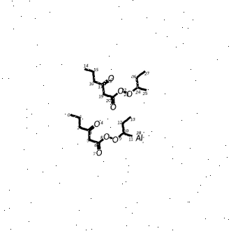 CCCC(=O)CC(=O)OOC(C)CC.CCCC(=O)CC(=O)OOC(C)CC.[Al]